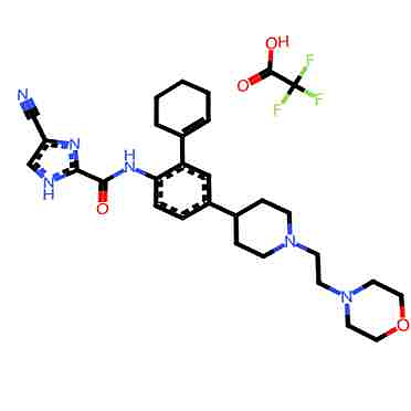 N#Cc1c[nH]c(C(=O)Nc2ccc(C3CCN(CCN4CCOCC4)CC3)cc2C2=CCCCC2)n1.O=C(O)C(F)(F)F